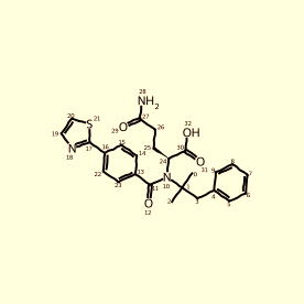 CC(C)(Cc1ccccc1)N(C(=O)c1ccc(-c2nccs2)cc1)[C@@H](CCC(N)=O)C(=O)O